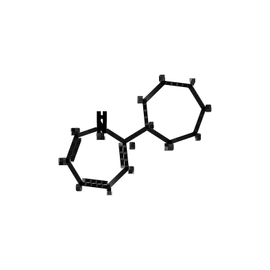 C1=CC=C(C2CCCCCC2)NC=C1